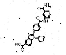 NC(=O)c1cccc(NC(=O)c2ccc(-c3nc4cc(C(=O)O)ccc4n3C3CCCC3)cc2)c1